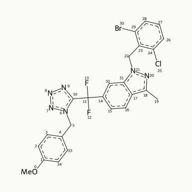 COc1ccc(Cn2nnnc2C(F)(F)c2ccc3c(C)nn(Cc4c(Cl)cccc4Br)c3c2)cc1